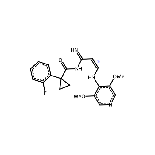 COc1cncc(OC)c1N/C=C\C(=N)NC(=O)C1(c2ccccc2F)CC1